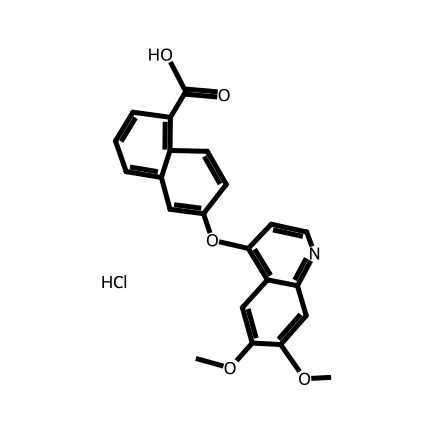 COc1cc2nccc(Oc3ccc4c(C(=O)O)cccc4c3)c2cc1OC.Cl